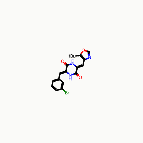 CC(C)(C)c1ocnc1C=c1[nH]c(=O)c(=Cc2cccc(Br)c2)[nH]c1=O